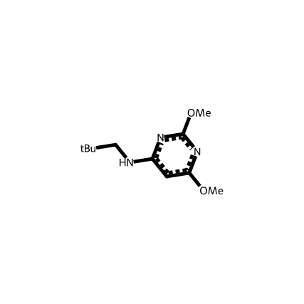 COc1cc(NCC(C)(C)C)nc(OC)n1